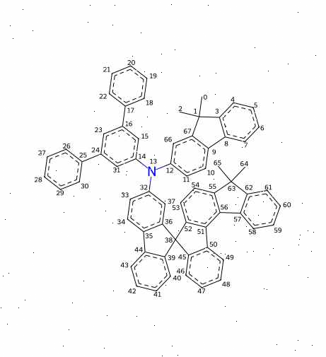 CC1(C)c2ccccc2-c2ccc(N(c3cc(-c4ccccc4)cc(-c4ccccc4)c3)c3ccc4c(c3)C3(c5ccccc5-4)c4ccccc4-c4c3ccc3c4-c4ccccc4C3(C)C)cc21